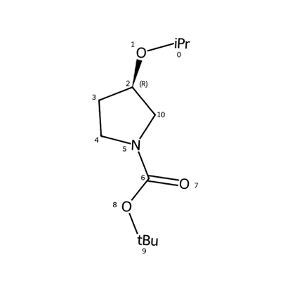 CC(C)O[C@@H]1CCN(C(=O)OC(C)(C)C)C1